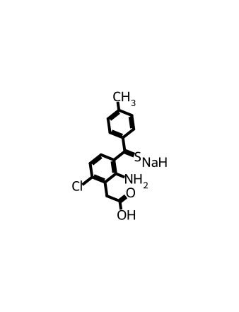 Cc1ccc(C(=S)c2ccc(Cl)c(CC(=O)O)c2N)cc1.[NaH]